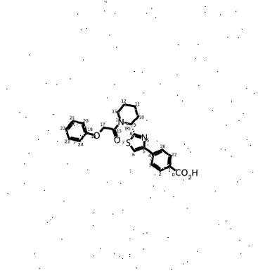 O=C(O)c1ccc(-c2csc([C@H]3CCCCN3C(=O)COc3ccccc3)n2)cc1